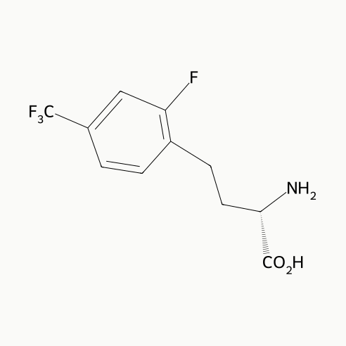 N[C@@H](CCc1ccc(C(F)(F)F)cc1F)C(=O)O